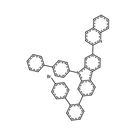 Brc1ccc(-c2ccccc2-c2ccc3c4ccc(-c5ccc6ccccc6n5)cc4n(-c4ccc(-c5ccccc5)cc4)c3c2)cc1